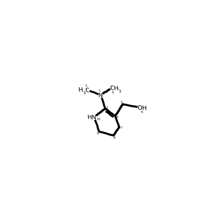 CN(C)C1=C(CO)CCCN1